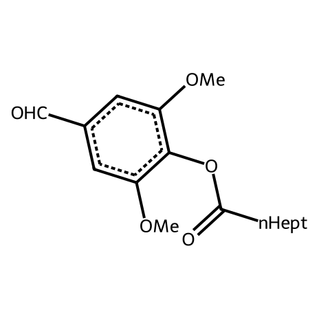 CCCCCCCC(=O)Oc1c(OC)cc(C=O)cc1OC